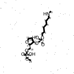 CNCCCCCCOP(=O)(O)O[C@H]1CCO[C@@H]1COP(=O)(O)OC